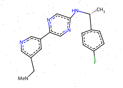 CNCc1cncc(-c2cnc(N[C@H](C)c3ccc(F)cc3)cn2)c1